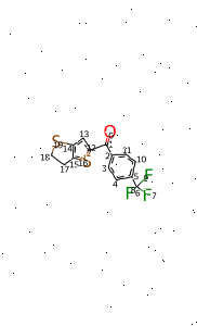 O=C(c1ccc(C(F)(F)F)cc1)c1cc2c(s1)CCS2